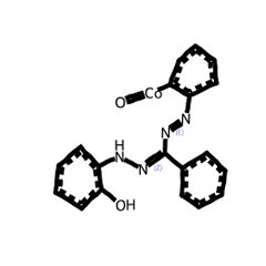 [O]=[Co][c]1ccccc1/N=N/C(=N\Nc1ccccc1O)c1ccccc1